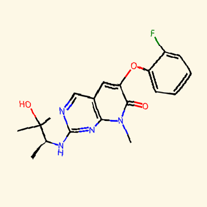 C[C@H](Nc1ncc2cc(Oc3ccccc3F)c(=O)n(C)c2n1)C(C)(C)O